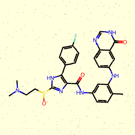 Cc1ccc(NC(=O)c2nc([S+]([O-])CCN(C)C)[nH]c2-c2ccc(F)cc2)cc1Nc1ccc2nc[nH]c(=O)c2c1